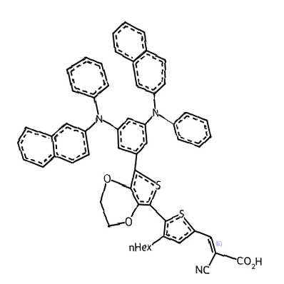 CCCCCCc1cc(/C=C(\C#N)C(=O)O)sc1-c1sc(-c2cc(N(c3ccccc3)c3ccc4ccccc4c3)cc(N(c3ccccc3)c3ccc4ccccc4c3)c2)c2c1OCCO2